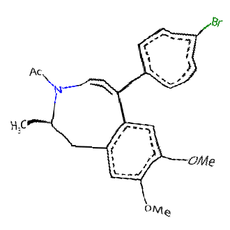 COc1cc2c(cc1OC)C(c1ccc(Br)cc1)=CN(C(C)=O)[C@H](C)C2